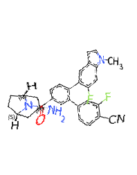 Cn1ccc2cc(-c3ccc(C(=O)N4[C@@H]5CC[C@H]4C[C@@H](N)C5)cc3-c3ccc(C#N)c(F)c3)c(F)cc21